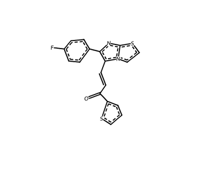 O=C(/C=C/c1c(-c2ccc(F)cc2)nc2sccn12)c1cccs1